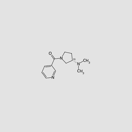 CN(C)[C@H]1CCN(C(=O)c2cccnc2)C1